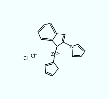 C1=CC[C]([Zr+2][CH]2C(n3cccc3)=Cc3ccccc32)=C1.[Cl-].[Cl-]